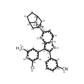 Cc1cc(-c2c(-c3cccc(C#N)c3)nn3ccc(N4CC5CCC(C4)N5C)nc23)cc(Cl)n1